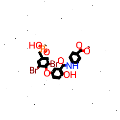 COC(=O)c1ccc(NC(=O)c2cc(Oc3c(Br)cc(CP(C)(=O)O)cc3Br)ccc2O)cc1